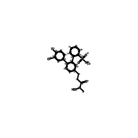 CN(O)C(=O)CCc1cnc(-c2ccc(F)c(Cl)c2)c(-c2ccccc2S(N)(=O)=O)c1